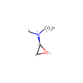 CN(C(=O)O)[C@@H]1CO1